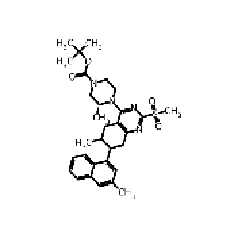 Cc1cc(C2Cc3nc(S(C)(=O)=O)nc(N4CCN(C(=O)OC(C)(C)C)C[C@@H]4C)c3CC2C)c2ccccc2c1